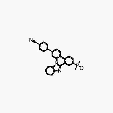 CP(C)(=O)c1ccc2c3ccc(-c4ccc(C#N)cc4)cc3n3c4ccccc4nc3c2c1